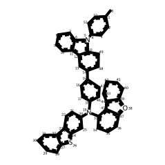 Cc1ccc(-n2c3ccccc3c3cc(-c4ccc(N(c5ccc6c(c5)sc5ccccc56)c5cccc6oc7ccccc7c56)cc4)ccc32)cc1